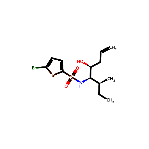 C=CC[C@H](O)[C@H](NS(=O)(=O)c1ccc(Br)s1)[C@@H](C)CC